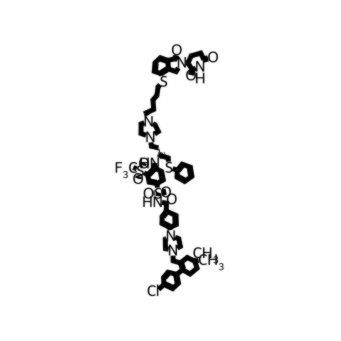 CC1(C)CCC(c2ccc(Cl)cc2)=C(CN2CCN(c3ccc(C(=O)NS(=O)(=O)c4ccc(N[C@H](CCN5CCN(CCCCCSc6cccc7c6CN(C6CCC(=O)NC6=O)C7=O)CC5)CSc5ccccc5)c(S(=O)(=O)C(F)(F)F)c4)cc3)CC2)C1